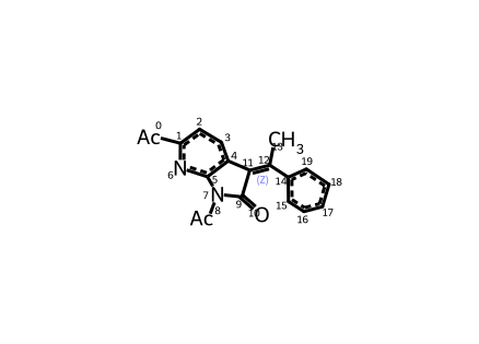 CC(=O)c1ccc2c(n1)N(C(C)=O)C(=O)/C2=C(/C)c1ccccc1